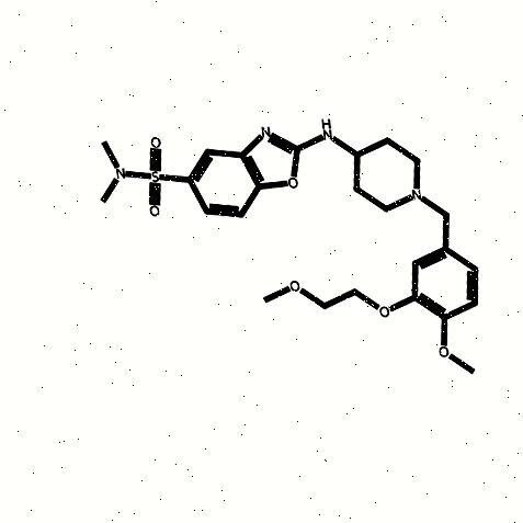 COCCOc1cc(CN2CCC(Nc3nc4cc(S(=O)(=O)N(C)C)ccc4o3)CC2)ccc1OC